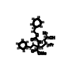 CCC[C@@H](C[C@@H](O)CC)C[C@@](CCc1ccccc1)(NC(=O)OCc1ccccc1)C(=O)OC